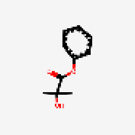 CC(C)(O)C(=O)Oc1ccccc1